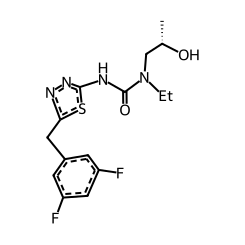 CCN(C[C@H](C)O)C(=O)Nc1nnc(Cc2cc(F)cc(F)c2)s1